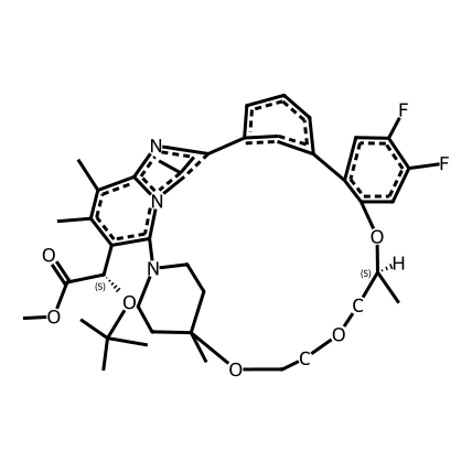 COC(=O)[C@@H](OC(C)(C)C)c1c(C)c(C)c2nc3c(C)n2c1N1CCC(C)(CC1)OCCOC[C@H](C)Oc1cc(F)c(F)cc1-c1cccc-3c1